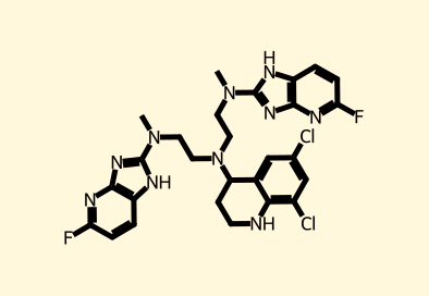 CN(CCN(CCN(C)c1nc2nc(F)ccc2[nH]1)C1CCNc2c(Cl)cc(Cl)cc21)c1nc2nc(F)ccc2[nH]1